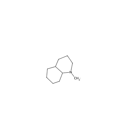 [CH2]N1CCCC2CCCCC21